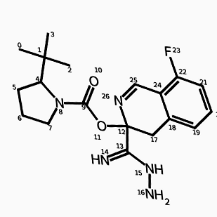 CC(C)(C)C1CCCN1C(=O)OC1(C(=N)NN)Cc2cccc(F)c2C=N1